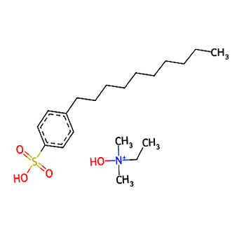 CCCCCCCCCCc1ccc(S(=O)(=O)O)cc1.CC[N+](C)(C)O